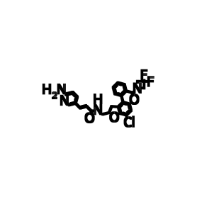 Nc1ccc(C=CC(=O)NCC2Cc3c(-c4ccccc4C(=O)N4CC(F)(F)C4)ccc(Cl)c3O2)cn1